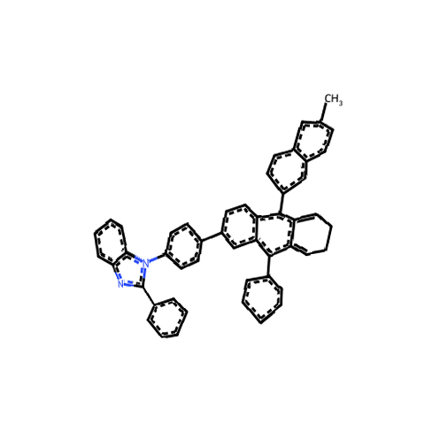 Cc1ccc2cc(-c3c4c(c(-c5ccccc5)c5cc(-c6ccc(-n7c(-c8ccccc8)nc8ccccc87)cc6)ccc35)=CCCC=4)ccc2c1